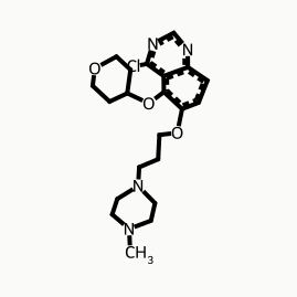 CN1CCN(CCCOc2ccc3ncnc(Cl)c3c2OC2CCOCC2)CC1